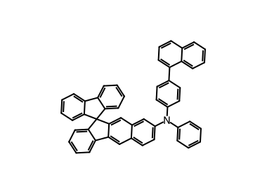 c1ccc(N(c2ccc(-c3cccc4ccccc34)cc2)c2ccc3cc4c(cc3c2)C2(c3ccccc3-c3ccccc32)c2ccccc2-4)cc1